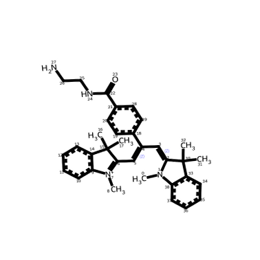 CN1/C(=C\C(=C\C2=[N+](C)c3ccccc3C2(C)C)c2ccc(C(=O)NCCN)cc2)C(C)(C)c2ccccc21